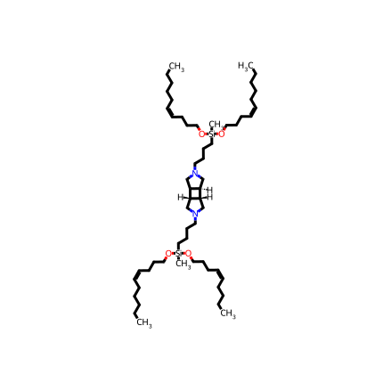 CCCC/C=C\CCCO[Si](C)(CCCCN1C[C@H]2[C@@H]3CN(CCCC[Si](C)(OCCC/C=C\CCCCC)OCCC/C=C\CCCCC)CC3[C@H]2C1)OCCC/C=C\CCCCC